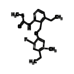 CCc1cc(F)c(OCc2c(CC)cccc2NC(=O)SC)cc1C